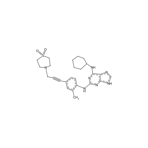 Cc1cc(C#CCN2CCS(=O)(=O)CC2)ccc1Nc1nc(NC2CCCCC2)c2nc[nH]c2n1